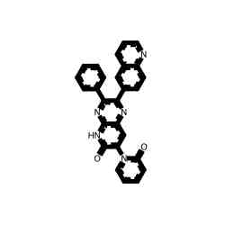 O=c1[nH]c2nc(-c3ccccc3)c(-c3ccc4ncccc4c3)nc2cc1-n1ccccc1=O